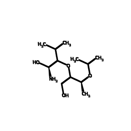 CC(C)O[C@@H](C)C(CO)OC(C(C)C)[C@@H](N)O